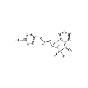 O=C(c1ccccc1F)C(F)(F)SCCOCc1ccc(F)cc1